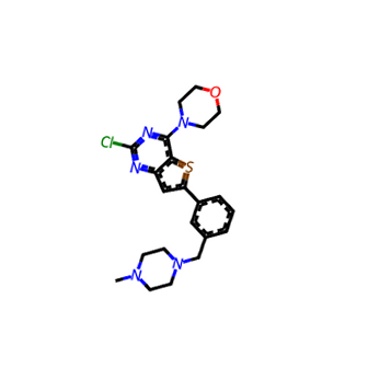 CN1CCN(Cc2cccc(-c3cc4nc(Cl)nc(N5CCOCC5)c4s3)c2)CC1